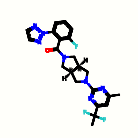 Cc1cc(C(C)(F)F)nc(N2C[C@H]3CN(C(=O)c4c(F)cccc4-n4nccn4)C[C@H]3C2)n1